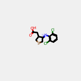 O=C(O)CC1CSC/C1=N\c1c(Cl)cccc1Cl